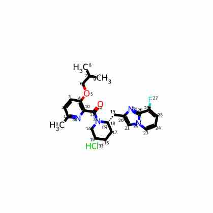 Cc1ccc(OCC(C)C)c(C(=O)N2CCCC[C@H]2Cc2cn3cccc(F)c3n2)n1.Cl